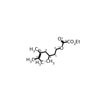 CCOC(=O)C(=O)OCCC(C)CC(C)=C(C)C